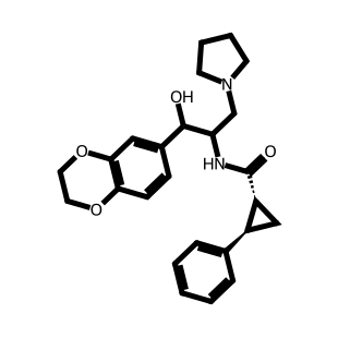 O=C(NC(CN1CCCC1)C(O)c1ccc2c(c1)OCCO2)[C@@H]1C[C@H]1c1ccccc1